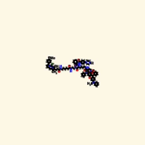 CCN1CCN(c2ccc(C(=O)NC3(C(=O)N[C@@H](CCCCNC(=O)C4CCN(S(=O)(=O)c5ccccc5-c5c6cc/c(=[N+](/C)c7ccccc7)cc-6oc6cc(N(C)c7ccccc7)ccc56)CC4)C(=O)NCCNC(=O)CCCCCNC(=O)CCC4=C(C)C5=Cc6ccc(-c7ccc(OC)cc7)n6B(F)[N+]5=C4C)CCCCC3)cc2)CC1